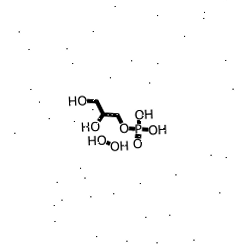 O=P(O)(O)OCC(O)CO.OO